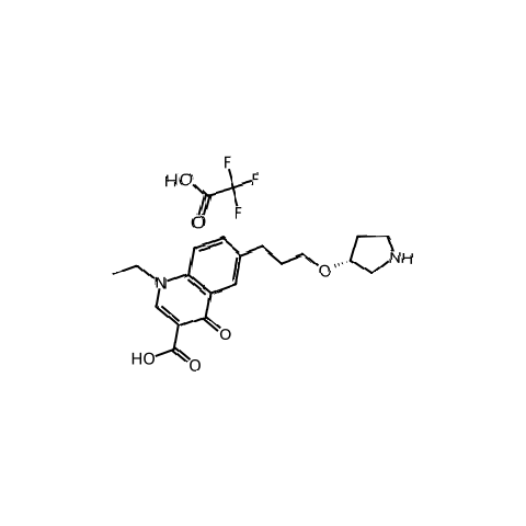 CCn1cc(C(=O)O)c(=O)c2cc(CCCO[C@@H]3CCNC3)ccc21.O=C(O)C(F)(F)F